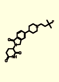 CC(C)(F)CCN1CCC(c2ccc3c(c2)CN(C2CCC(=O)NC2=O)C3=O)CC1